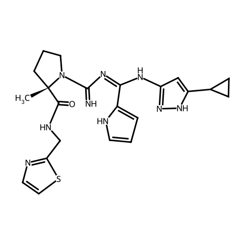 C[C@@]1(C(=O)NCc2nccs2)CCCN1C(=N)/N=C(/Nc1cc(C2CC2)[nH]n1)c1ccc[nH]1